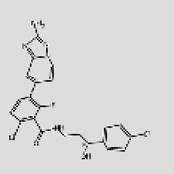 Nc1nc2cc(-c3ccc(Cl)c(C(=O)NCC[C@@H](O)c4ccc(Cl)cc4)c3F)ccn2n1